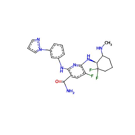 CNC1CCCC(F)(F)[C@H]1Nc1nc(Nc2cccc(-n3cccn3)c2)c(C(N)=O)cc1F